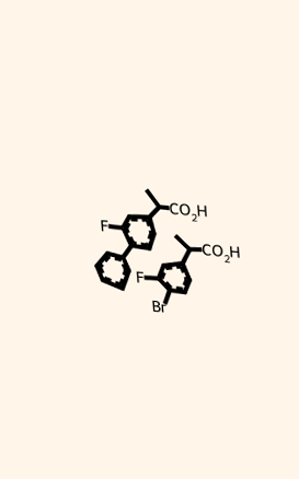 CC(C(=O)O)c1ccc(-c2ccccc2)c(F)c1.CC(C(=O)O)c1ccc(Br)c(F)c1